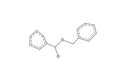 [O]C(OCc1ccccc1)c1ccccc1